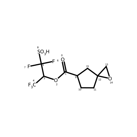 O=C(OC(C(F)(F)F)C(F)(F)S(=O)(=O)O)C1CCC2(CO2)C1